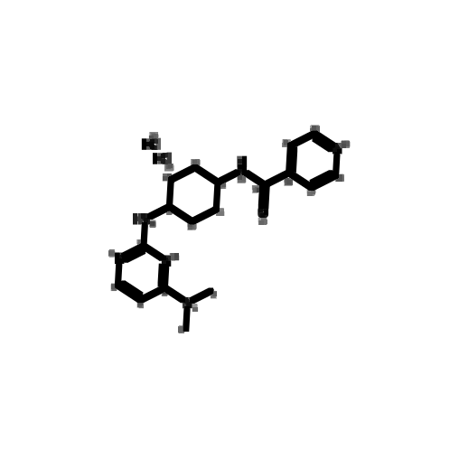 CN(C)c1ccnc(NC2CCC(NC(=O)c3ccncc3)CC2)n1.Cl.Cl